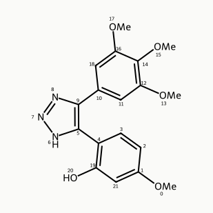 COc1ccc(-c2[nH]nnc2-c2cc(OC)c(OC)c(OC)c2)c(O)c1